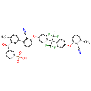 Cc1ccc(-c2cccc(Oc3ccc(C(c4ccc(Oc5cccc(C)c5C#N)cc4)(C(F)(F)F)C(F)(F)F)cc3)c2C#N)cc1C(=O)c1cccc(S(=O)(=O)O)c1